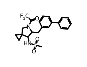 CS(=O)(=O)NC1C(Cc2cccc(-c3ccccc3)c2)N(C(=O)C(F)(F)F)CC12CC2